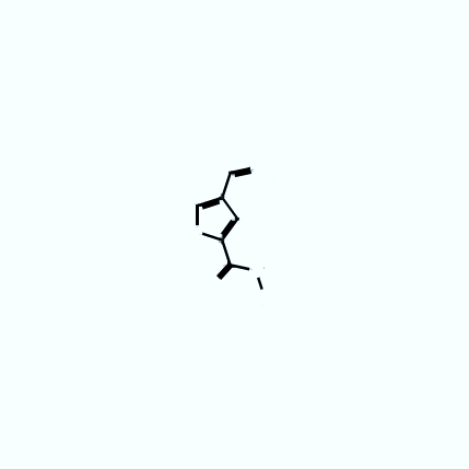 C=Cc1csc(C(=O)OC(C)(C)C)c1